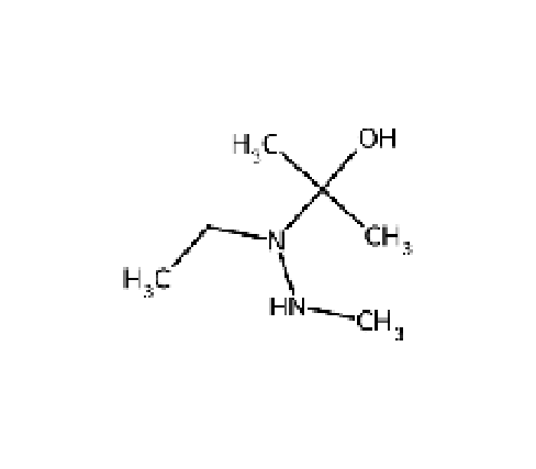 CCN(NC)C(C)(C)O